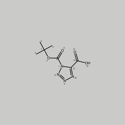 CC(C)(C)OC(=O)n1nnnc1C(=O)O